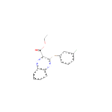 CCOC(=O)c1nc2ccccc2nc1Sc1cccc(Cl)c1